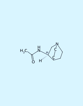 CC(=O)N[C@H]1CN2CCC1CC2